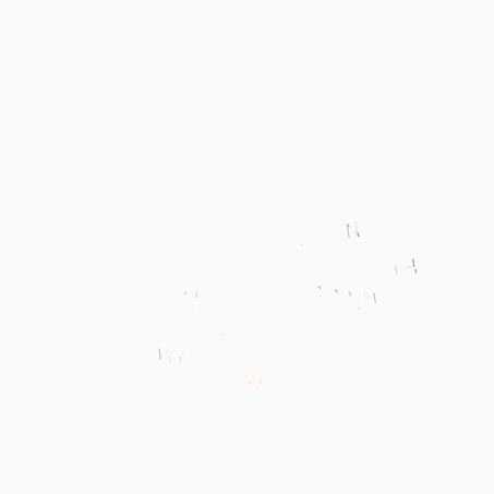 CN1Cc2ccccc2C1(CCS(C)(=O)=O)C(=O)O